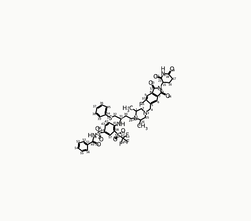 CC1CN(Cc2cc3c(cc2F)C(=O)N(C2CCC(=O)NC2=O)C3=O)CC(C)N1CC[C@H](CSc1ccccc1)Nc1ccc(S(=O)(=O)NC(=O)c2ccccc2)cc1S(=O)(=O)C(F)(F)F